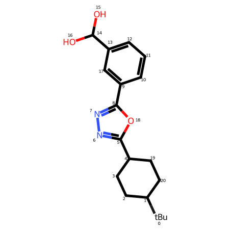 CC(C)(C)C1CCC(c2nnc(-c3cccc(C(O)O)c3)o2)CC1